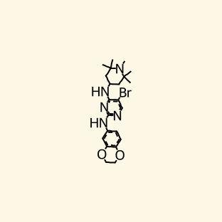 CN1C(C)(C)CC(Nc2nc(Nc3ccc4c(c3)OCCO4)ncc2Br)CC1(C)C